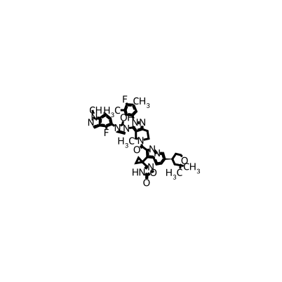 Cc1cc(-n2nc3c(c2N2C=CN(c4ccc5c(cnn5C)c4F)C2O)[C@H](C)N(C(=O)c2nn4cc([C@H]5CCOC(C)(C)C5)ccc4c2C2(c4noc(=O)[nH]4)CC2)CC3)cc(C)c1F